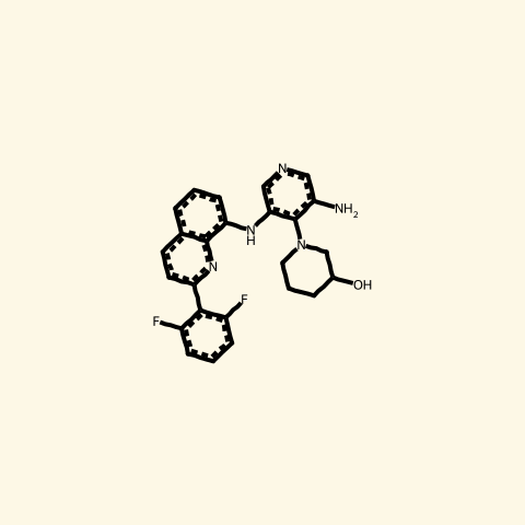 Nc1cncc(Nc2cccc3ccc(-c4c(F)cccc4F)nc23)c1N1CCCC(O)C1